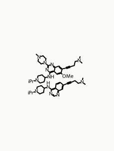 CC(C)N1CCC(Nc2ncnc3cc(C#CCCN(C)C)ccc23)CC1.COc1cc2c(NC3CCN(C(C)C)CC3)nc(N3CCN(C)CC3)nc2cc1C#CCCN(C)C